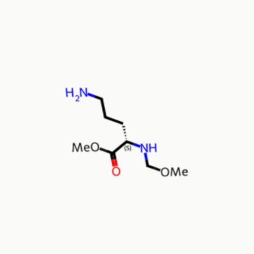 COCN[C@@H](CCCN)C(=O)OC